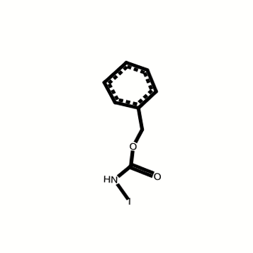 O=C(NI)OCc1ccccc1